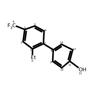 CCc1cc(C(F)(F)F)ccc1-c1ccc(O)cc1